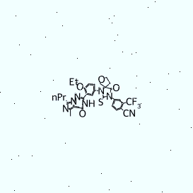 CCCc1nc(C)c2c(=O)[nH]c(-c3cc(N4C(=S)N(c5ccc(C#N)c(C(F)(F)F)c5)C(=O)C45CCOC5)ccc3OCC)nn12